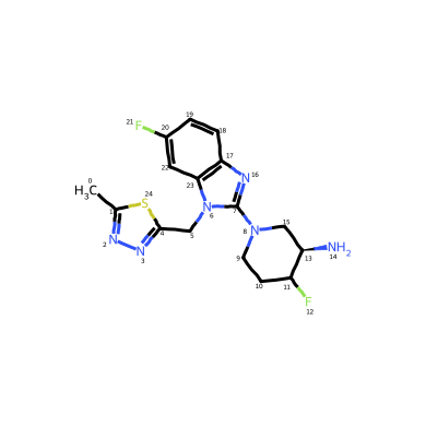 Cc1nnc(Cn2c(N3CCC(F)[C@H](N)C3)nc3ccc(F)cc32)s1